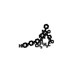 C=CC(=O)N1CC[C@H](n2c(=O)c(-c3ccccc3)nc3cnc(Nc4ccc(N5CCC(N6CCNCC6)CC5)c(C)c4)nc32)C1